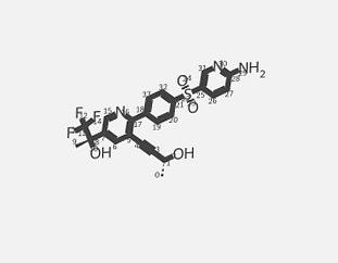 C[C@@H](O)C#Cc1cc([C@](C)(O)C(F)(F)F)cnc1-c1ccc(S(=O)(=O)c2ccc(N)nc2)cc1